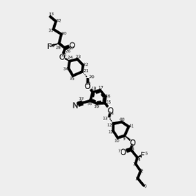 CCCC[C@H](F)C(=O)O[C@H]1CC[C@H](COc2ccc(OC[C@H]3CC[C@H](OC(=O)[C@@H](F)CCCC)CC3)c(C#N)c2)CC1